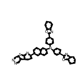 c1ccc2oc(-c3ccc(N(c4ccc(-c5nc6ccccc6o5)cc4)c4ccc5cc(-c6ccc7c(n6)sc6cnncc67)ccc5c4)cc3)nc2c1